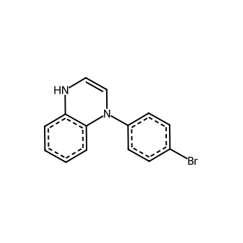 Brc1ccc(N2C=CNc3ccccc32)cc1